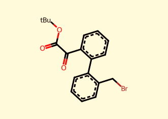 CC(C)(C)OC(=O)C(=O)c1ccccc1-c1ccccc1CBr